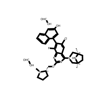 CN1CCC[C@H]1COc1nc(N2C[C@]3(C)CC[C@](C)(C2)N3)c2cc(Cl)c(-c3cc(O)cc4ccccc34)c(F)c2n1.O=CO.O=CO